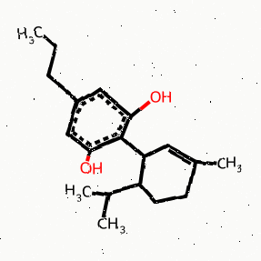 CCCc1cc(O)c(C2C=C(C)CCC2C(C)C)c(O)c1